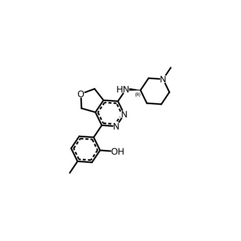 Cc1ccc(-c2nnc(N[C@@H]3CCCN(C)C3)c3c2COC3)c(O)c1